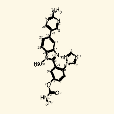 CC(C)NC(=O)Oc1ccc(-n2cncn2)c(-c2nc3cc(-c4cnc(N)nc4)ccc3n2C(C)(C)C)c1